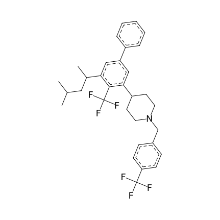 CC(C)CC(C)c1cc(-c2ccccc2)cc(C2CCN(Cc3ccc(C(F)(F)F)cc3)CC2)c1C(F)(F)F